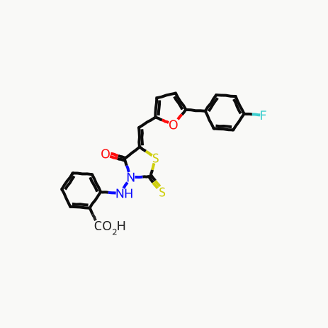 O=C(O)c1ccccc1NN1C(=O)C(=Cc2ccc(-c3ccc(F)cc3)o2)SC1=S